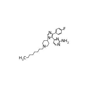 CCCCCCCCN1CCC(n2cnc(-c3ccc(F)cc3)c2-c2ccnc(N)n2)CC1